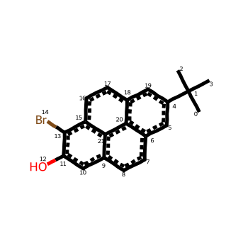 CC(C)(C)c1cc2ccc3cc(O)c(Br)c4ccc(c1)c2c34